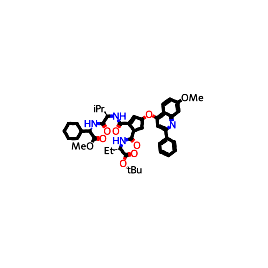 CC[C@H](NC(=O)C1CC(Oc2cc(-c3ccccc3)nc3cc(OC)ccc23)C=C1C(=O)N[C@H](C(=O)N[C@H](C(=O)OC)C1CCCCC1)C(C)C)C(=O)OC(C)(C)C